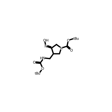 CC(C)(C)OC(=O)NCC1CN(C(=O)OC(C)(C)C)CC1=NO